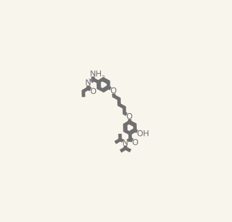 CCC(=O)/N=C(/N)c1ccc(OCCCCCOc2ccc(C(=O)N(C(C)C)C(C)C)c(O)c2)cc1